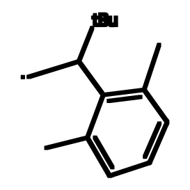 [CH2]C(c1c(C)cccc1C)C(C)(C)C